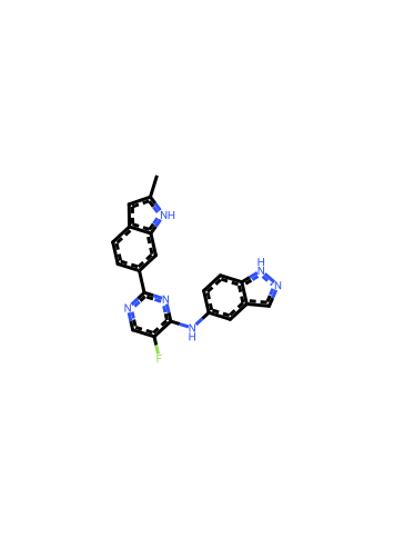 Cc1cc2ccc(-c3ncc(F)c(Nc4ccc5[nH]ncc5c4)n3)cc2[nH]1